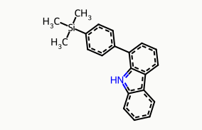 C[Si](C)(C)c1ccc(-c2cccc3c2[nH]c2ccccc23)cc1